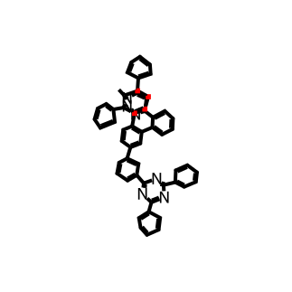 Cc1cccc(-c2ccc(-c3cccc(-c4nc(-c5ccccc5)nc(-c5ccccc5)n4)c3)cc2-c2ccccc2-c2cc(-c3ccccc3)nc(-c3ccccc3)n2)n1